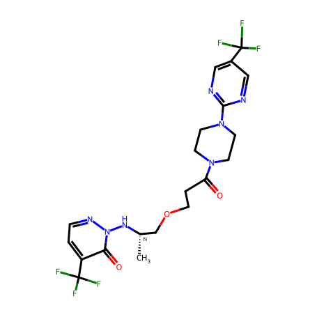 C[C@@H](COCCC(=O)N1CCN(c2ncc(C(F)(F)F)cn2)CC1)Nn1nccc(C(F)(F)F)c1=O